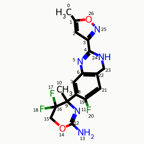 Cc1cc(C2=Nc3cc(C4(C)N=C(N)OCC4(F)F)c(F)cc3CN2)no1